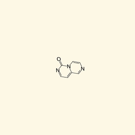 O=c1nccc2cnccn12